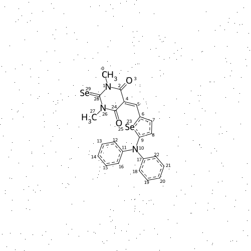 CN1C(=O)C(=Cc2ccc(N(c3ccccc3)c3ccccc3)[se]2)C(=O)N(C)C1=[Se]